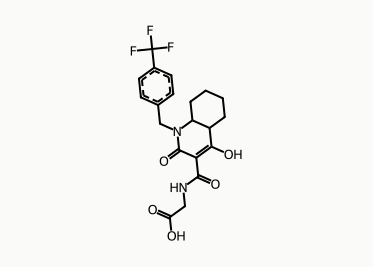 O=C(O)CNC(=O)C1=C(O)C2CCCCC2N(Cc2ccc(C(F)(F)F)cc2)C1=O